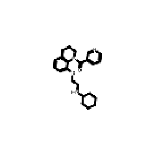 O=C(c1cccnc1)N1CCCc2cccc(OCCNC3CCCCC3)c21